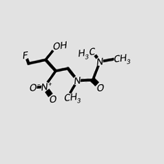 CN(C)C(=O)N(C)CC(C(O)CF)[N+](=O)[O-]